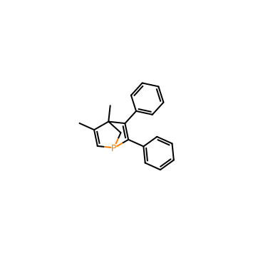 CC1=CP2CC1(C)C(c1ccccc1)=C2c1ccccc1